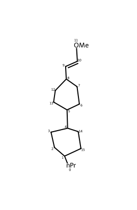 CCCC1CCC(C2CCC(/C=C/OC)CC2)CC1